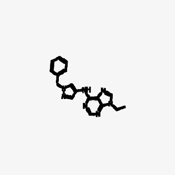 CCn1cnc2c(Nc3cnn(Cc4ccccc4)c3)ncnc21